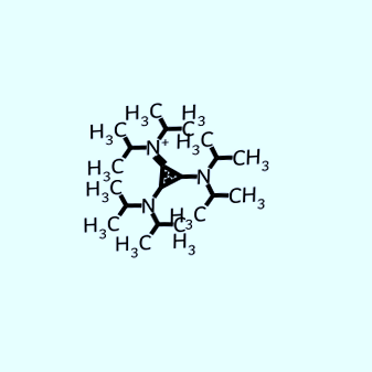 CC(C)N(c1c(N(C(C)C)C(C)C)c1=[N+](C(C)C)C(C)C)C(C)C